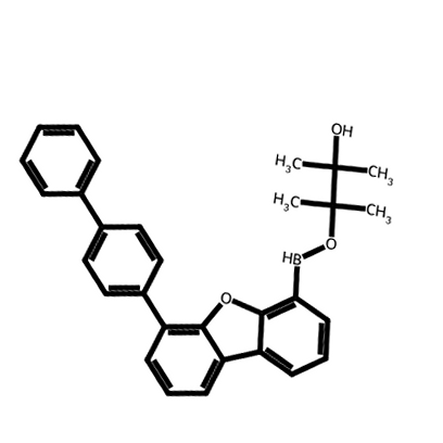 CC(C)(O)C(C)(C)OBc1cccc2c1oc1c(-c3ccc(-c4ccccc4)cc3)cccc12